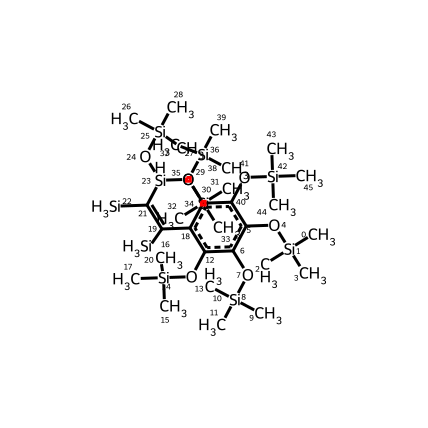 C[Si](C)(C)Oc1c(O[Si](C)(C)C)c(O[Si](C)(C)C)c(C([SiH3])=C([SiH3])[SiH](O[Si](C)(C)C)O[Si](C)(C)C)c(O[Si](C)(C)C)c1O[Si](C)(C)C